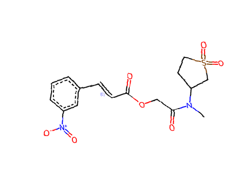 CN(C(=O)COC(=O)/C=C/c1cccc([N+](=O)[O-])c1)C1CCS(=O)(=O)C1